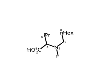 CCCCCCCN(C)C(C(=O)O)C(C)C